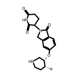 O=C1CCC(N2Cc3cc(O[C@H]4CNCC[C@H]4F)ccc3C2=O)C(=O)N1